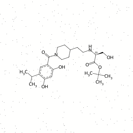 CC(C)c1cc(C(=O)N2CCC(CCN[C@@H](CO)C(=O)OC(C)(C)C)CC2)c(O)cc1O